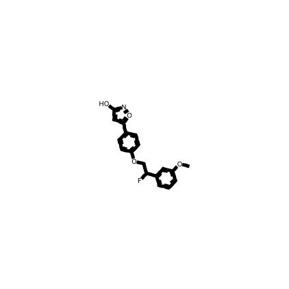 COc1cccc(C(F)COc2ccc(-c3cc(O)no3)cc2)c1